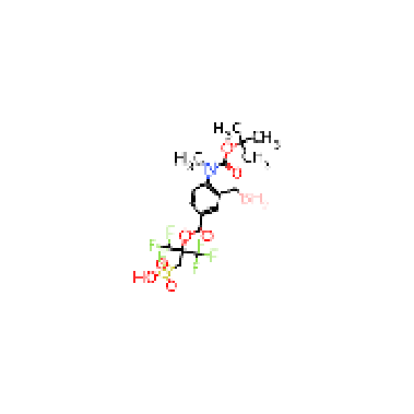 BCc1cc(C(=O)OC(CS(=O)(=O)O)(C(F)(F)F)C(F)(F)F)ccc1N(C)C(=O)OC(C)(C)C